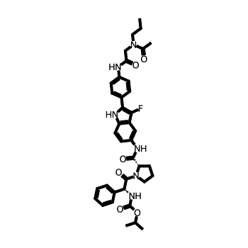 CCCN(CC(=O)Nc1ccc(-c2[nH]c3ccc(NC(=O)[C@@H]4CCCN4C(=O)[C@H](NC(=O)OC(C)C)c4ccccc4)cc3c2F)cc1)C(C)=O